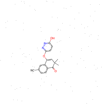 CC1(C)C=C(Oc2ccc(O)nn2)c2cc(C#N)ccc2C1=O